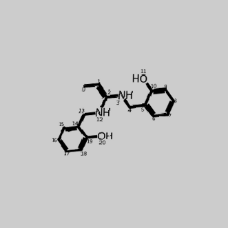 CC=C(NCc1ccccc1O)NCc1ccccc1O